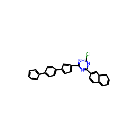 N=C(/N=C(\N=C\Cl)c1ccc2ccccc2c1)c1ccc(-c2ccc(-c3ccccc3)cc2)cc1